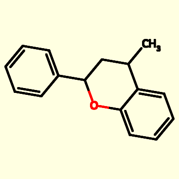 CC1CC(c2ccccc2)Oc2ccccc21